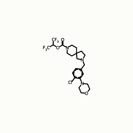 O=C(OC(C(F)(F)F)C(F)(F)F)N1CCC2(CCN(Cc3ccc(Cl)c(N4CCOCC4)c3)C2)CC1